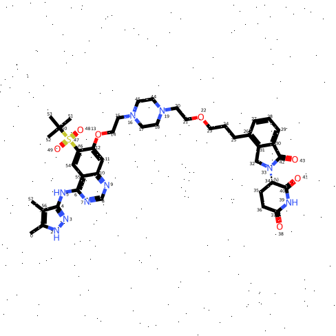 Cc1[nH]nc(Nc2ncnc3cc(OCCN4CCN(CCOCCCc5cccc6c5CN([C@H]5CCC(=O)NC5=O)C6=O)CC4)c(S(=O)(=O)C(C)(C)C)cc23)c1C